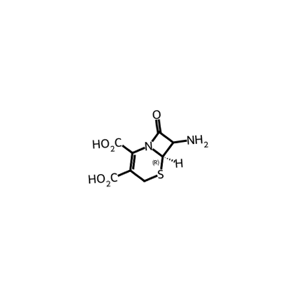 NC1C(=O)N2C(C(=O)O)=C(C(=O)O)CS[C@H]12